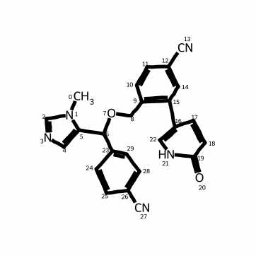 Cn1cncc1C(OCc1ccc(C#N)cc1-c1ccc(=O)[nH]c1)c1ccc(C#N)cc1